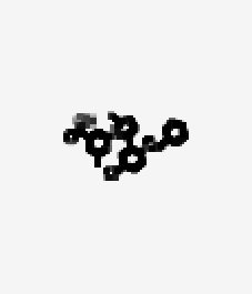 Cc1cc(C(=O)O)cc(-n2c(C)ccc2-c2cc(Cl)ccc2OCc2ccccc2)c1